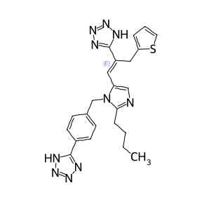 CCCCc1ncc(/C=C(\Cc2cccs2)c2nnn[nH]2)n1Cc1ccc(-c2nnn[nH]2)cc1